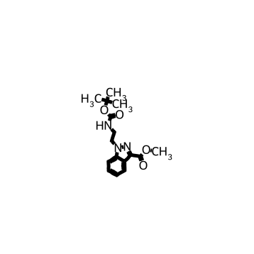 COC(=O)c1nn(CCNC(=O)OC(C)(C)C)c2ccccc12